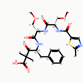 COC[C@H](NC(=O)c1cnc(C)s1)C(=O)N[C@@H](COC)C(=O)N[C@@H](Cc1ccccc1)C(=O)C(C)(C)C(=O)O